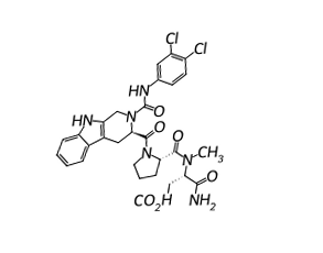 CN(C(=O)[C@@H]1CCCN1C(=O)[C@H]1Cc2c([nH]c3ccccc23)CN1C(=O)Nc1ccc(Cl)c(Cl)c1)[C@@H](CC(=O)O)C(N)=O